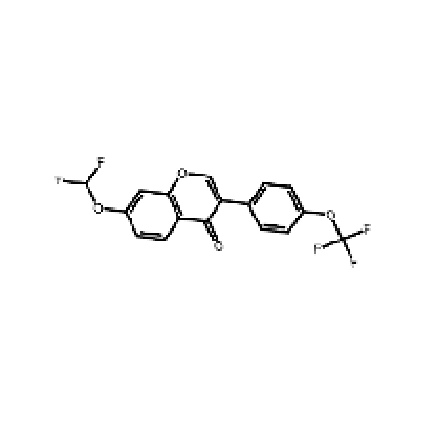 O=c1c(-c2ccc(OC(F)(F)F)cc2)coc2cc(OC(F)F)ccc12